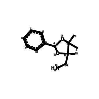 CC1(C)OB(c2ccccc2)O[C@@]1(C)CN